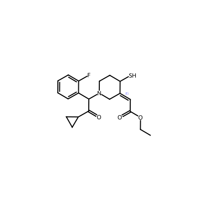 CCOC(=O)/C=C1\CN(C(C(=O)C2CC2)c2ccccc2F)CCC1S